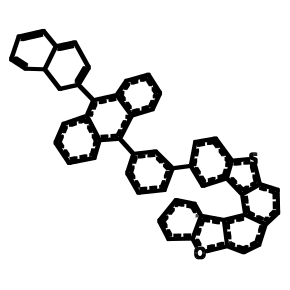 C1=CC2=CC=C(c3c4ccccc4c(-c4cccc(-c5ccc6sc7ccc8ccc9oc%10ccccc%10c9c8c7c6c5)c4)c4ccccc34)CC2C=C1